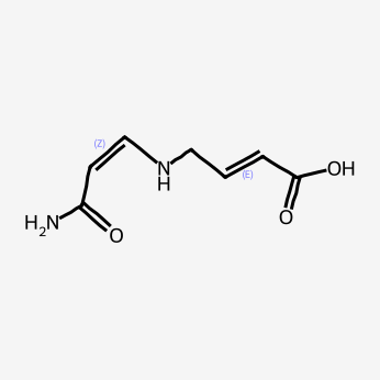 NC(=O)/C=C\NC/C=C/C(=O)O